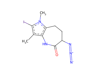 Cc1c2c(n(C)c1I)CCC(N=[N+]=[N-])C(=O)N2